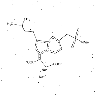 CNS(=O)(=O)Cc1ccc2[nH]cc(CCN(C)C)c2c1.O=C([O-])CCC(=O)[O-].[Na+].[Na+]